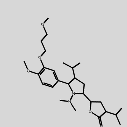 COCCCOc1cc(C2C(C(C)C)CC(C3CC(C(C)C)C(=O)O3)N2N(C)C)ccc1OC